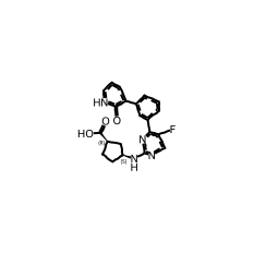 O=C(O)[C@@H]1CC[C@H](Nc2ncc(F)c(-c3cccc(-c4ccc[nH]c4=O)c3)n2)C1